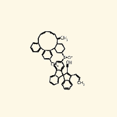 C#CC1=C(/C=C\C)c2ccccc2C12c1ccccc1-c1ccc([S+]([O-])[C@@H]3CCC4C(=C)/C=C\C=C/Cc5ccccc5-c5ccc(C)cc5C4C3)cc12